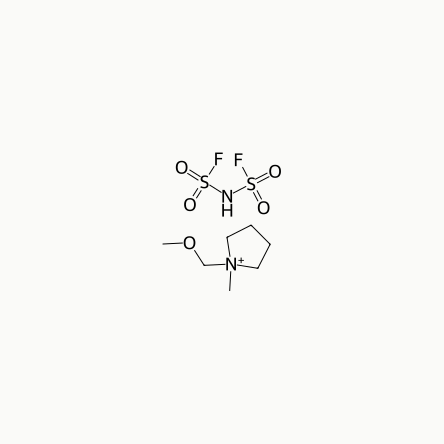 COC[N+]1(C)CCCC1.O=S(=O)(F)NS(=O)(=O)F